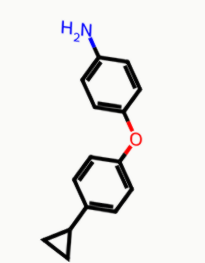 Nc1ccc(Oc2ccc(C3CC3)cc2)cc1